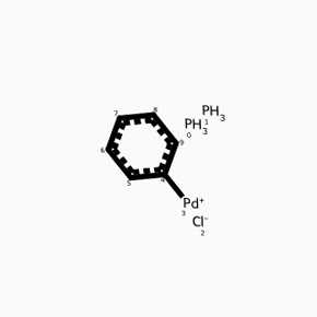 P.P.[Cl-].[Pd+][c]1ccccc1